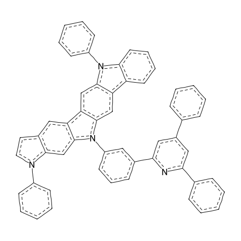 c1ccc(-c2cc(-c3ccccc3)nc(-c3cccc(-n4c5cc6c7ccccc7n(-c7ccccc7)c6cc5c5cc6ccn(-c7ccccc7)c6cc54)c3)c2)cc1